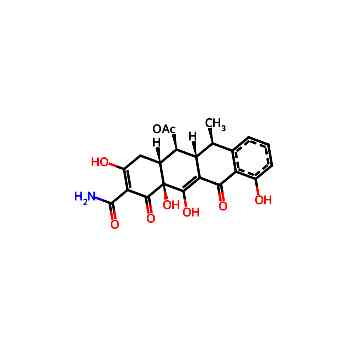 CC(=O)O[C@H]1[C@H]2C(=C(O)[C@]3(O)C(=O)C(C(N)=O)=C(O)C[C@H]13)C(=O)c1c(O)cccc1[C@@H]2C